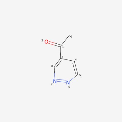 [CH2]C(=O)c1ccnnc1